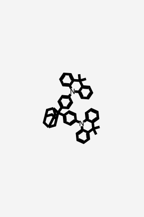 CC1(C)c2ccccc2N(c2ccc(C3(c4ccc(N5c6ccccc6C(C)(C)c6ccccc65)cc4)C4CC5CC(C4)CC3C5)cc2)c2ccccc21